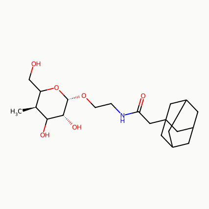 C[C@H]1C(CO)O[C@H](OCCNC(=O)CC23CC4CC(CC(C4)C2)C3)[C@H](O)C1O